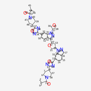 CC(C)C(=O)N1CCC(c2noc(-c3ccc4cnn(C5COC(c6nn(C7COC7)c7cc(-c8noc(C9CCN(C(=O)C(C)C)CC9)n8)ccc67)C5)c4c3)n2)CC1